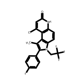 Cc1c(-c2ccc(F)cc2)n(CC(F)(F)F)c2ccc3[nH]c(=O)cc(Cl)c3c12